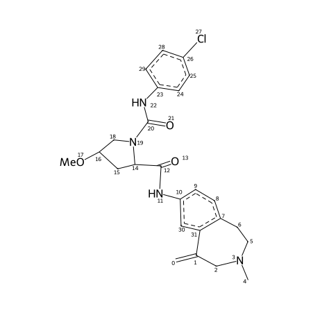 C=C1CN(C)CCc2ccc(NC(=O)C3CC(OC)CN3C(=O)Nc3ccc(Cl)cc3)cc21